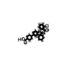 O=C(O)C1CCC(c2ccc3c(c2)C2(CCCCC2)c2nc(=O)c4c(Cl)cccc4n2-3)CC1